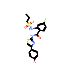 CCCS(=O)(=O)Nc1cc(F)ccc1C(=O)Nc1nc(-c2ccc(Br)cc2)cs1